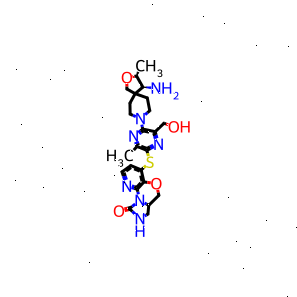 Cc1nc(N2CCC3(CC2)CO[C@@H](C)[C@H]3N)c(CO)nc1Sc1ccnc2c1OCC1CNC(=O)N21